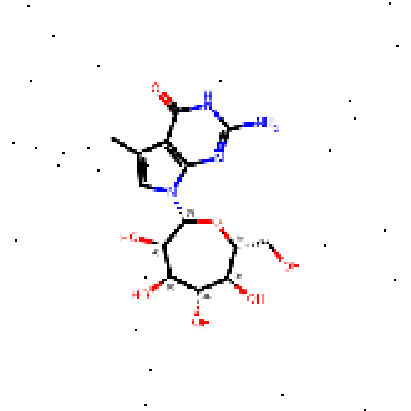 Cc1cn([C@@H]2O[C@H](CO)[C@@H](O)[C@H](O)[C@@H](O)[C@H]2O)c2nc(N)[nH]c(=O)c12